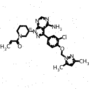 C=CC(=O)N1CCC[C@@H](n2nc(-c3ccc(OCn4nc(C)cc4C)c(Cl)c3)c3c(N)ncnc32)C1